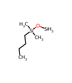 CCCC[Si](C)(C)O[SiH3]